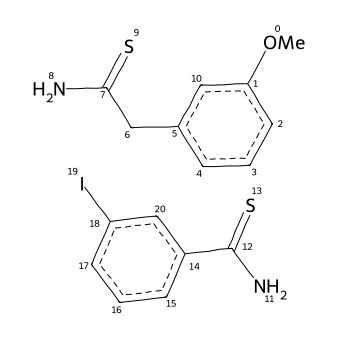 COc1cccc(CC(N)=S)c1.NC(=S)c1cccc(I)c1